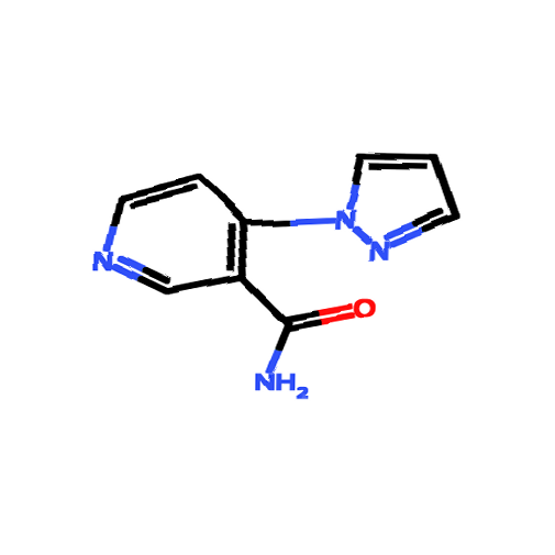 NC(=O)c1cnccc1-n1cccn1